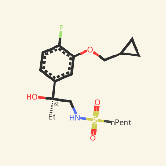 CCCCCS(=O)(=O)NC[C@](O)(CC)c1ccc(F)c(OCC2CC2)c1